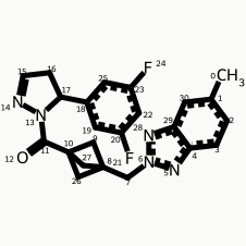 Cc1ccc2nn(CC34CC(C(=O)N5N=CCC5c5cc(F)cc(F)c5)(C3)C4)nc2c1